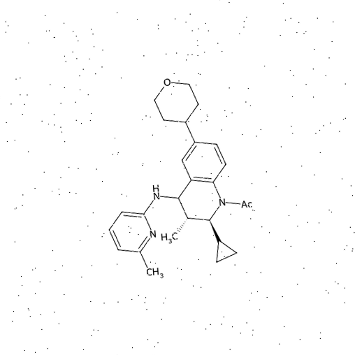 CC(=O)N1c2ccc(C3CCOCC3)cc2C(Nc2cccc(C)n2)[C@@H](C)[C@@H]1C1CC1